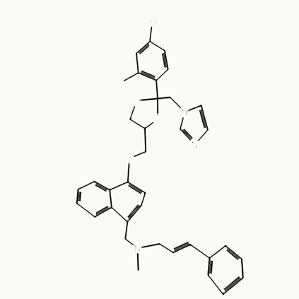 CN(CC=Cc1ccccc1)Cc1ccc(OCC2COC(Cn3ccnc3)(c3ccc(Cl)cc3Cl)O2)c2ccccc12